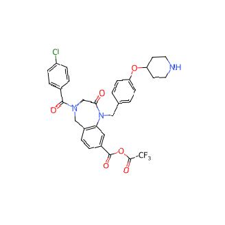 O=C(OC(=O)C(F)(F)F)c1ccc2c(c1)N(Cc1ccc(OC3CCNCC3)cc1)C(=O)CN(C(=O)c1ccc(Cl)cc1)C2